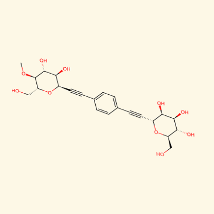 CO[C@H]1[C@H](O)[C@@H](O)[C@@H](C#Cc2ccc(C#C[C@H]3O[C@H](CO)[C@@H](O)[C@H](O)[C@@H]3O)cc2)O[C@@H]1CO